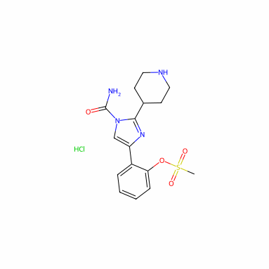 CS(=O)(=O)Oc1ccccc1-c1cn(C(N)=O)c(C2CCNCC2)n1.Cl